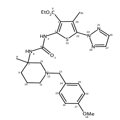 CCOC(=O)c1c(NC(=O)NC2(C)CCCN(Cc3ccc(OC)cc3)C2)sc(-n2nccn2)c1C